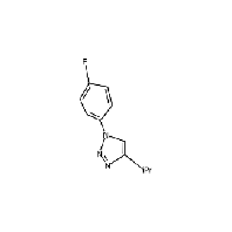 CC(C)c1cn(-c2ccc(F)cc2)nn1